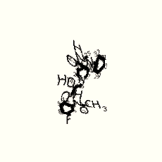 CC(=O)Nc1cc(F)ccc1OCC(O)CN1CCC2(CC1)C(=O)NCN2c1ccccc1